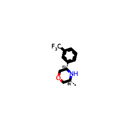 C[C@@H]1COC[C@H](c2cccc(C(F)(F)F)c2)N1